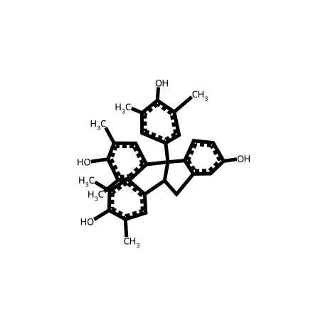 Cc1cc(C2Cc3cc(O)ccc3C2(c2cc(C)c(O)c(C)c2)c2cc(C)c(O)c(C)c2)cc(C)c1O